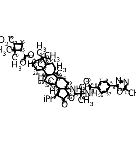 Cc1nnc(-c2ccc(C(=O)NC(C)(C)C(=O)N[C@]34CC[C@@]5(C)[C@H](CC[C@H]6[C@]7(C)CC[C@H](OC(=O)[C@H]8C[C@@H](C(=O)O)C8(C)C)C(C)(C)[C@H]7CC[C@@]65C)C3=C(C(C)C)C(=O)C4)cc2)o1